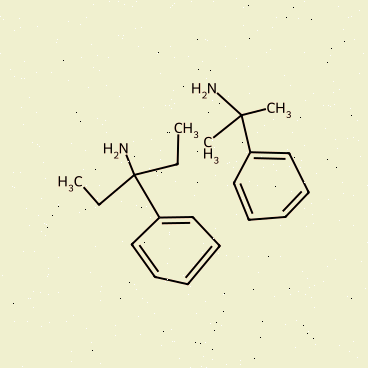 CC(C)(N)c1ccccc1.CCC(N)(CC)c1ccccc1